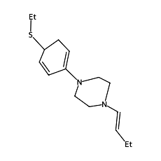 CCC=CN1CCN(C2=CCC(SCC)C=C2)CC1